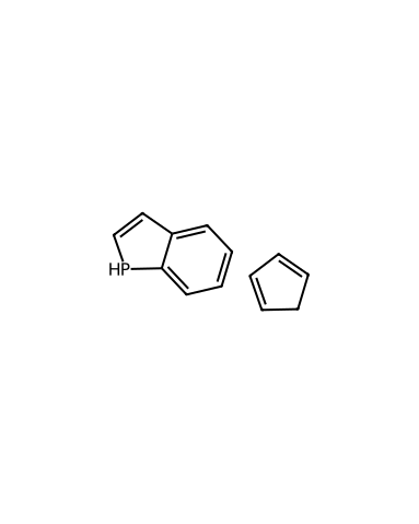 C1=CCC=C1.c1ccc2[pH]ccc2c1